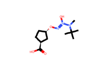 CN(/[N+](O)=N/O[C@H]1CC[C@H](C(=O)O)C1)C(C)(C)C